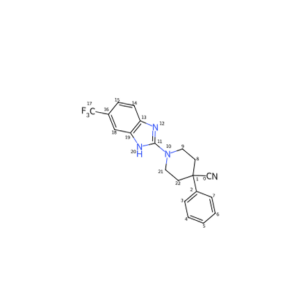 N#CC1(c2ccccc2)CCN(c2nc3ccc(C(F)(F)F)cc3[nH]2)CC1